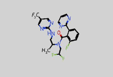 CC(CNc1ncc(C(F)(F)F)cn1)N(CC(F)F)C(=O)c1c(F)cccc1-c1ncccn1